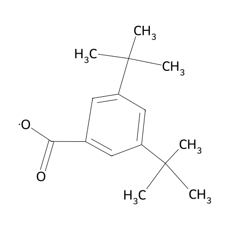 CC(C)(C)c1cc(C([O])=O)cc(C(C)(C)C)c1